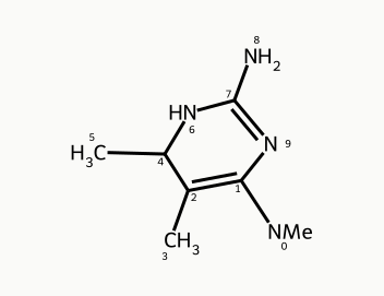 CNC1=C(C)C(C)NC(N)=N1